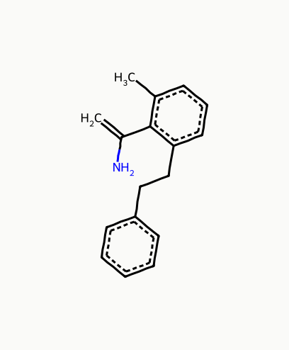 C=C(N)c1c(C)cccc1CCc1ccccc1